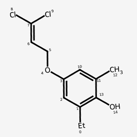 CCc1cc(OCC=C(Cl)Cl)cc(C)c1O